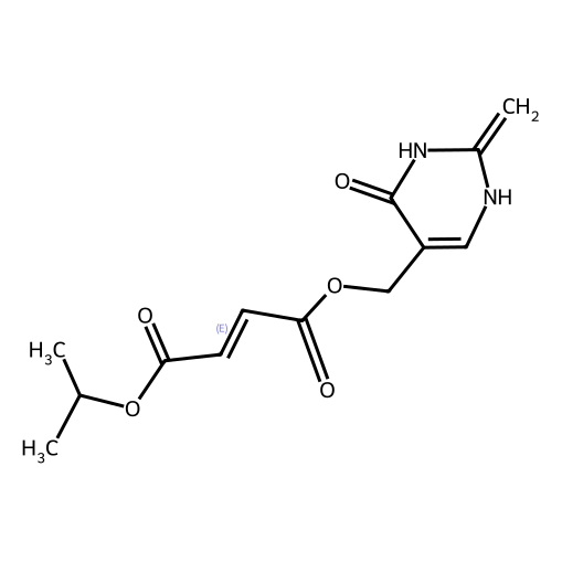 C=C1NC=C(COC(=O)/C=C/C(=O)OC(C)C)C(=O)N1